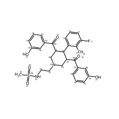 Cc1c(F)cccc1C1C(C(=O)c2cccc(O)c2)CN(CCNS(C)(=O)=O)CC1C(=O)c1cccc(O)c1